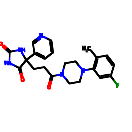 Cc1ccc(F)cc1N1CCN(C(=O)CCC2(c3cccnc3)NC(=O)NC2=O)CC1